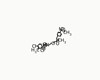 Cc1c(Cl)ccc(S(=O)(=O)CNCCOCC(=O)N(C)Cc2ccc(C3=NCCN3C)cc2)c1Cl